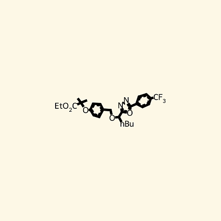 CCCCC(OCc1ccc(OC(C)(C)C(=O)OCC)cc1)c1nnc(-c2ccc(C(F)(F)F)cc2)o1